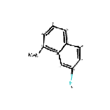 CNc1cccc2ccc(F)cc12